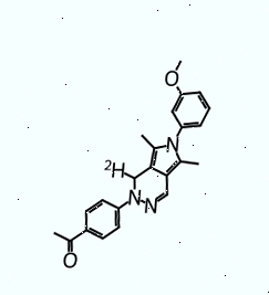 [2H]C1c2c(c(C)n(-c3cccc(OC)c3)c2C)C=NN1c1ccc(C(C)=O)cc1